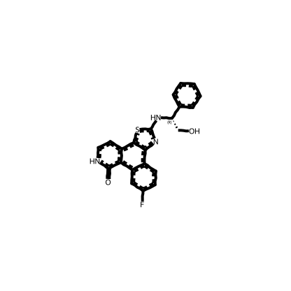 O=c1[nH]ccc2c3sc(N[C@@H](CO)c4ccccc4)nc3c3ccc(F)cc3c12